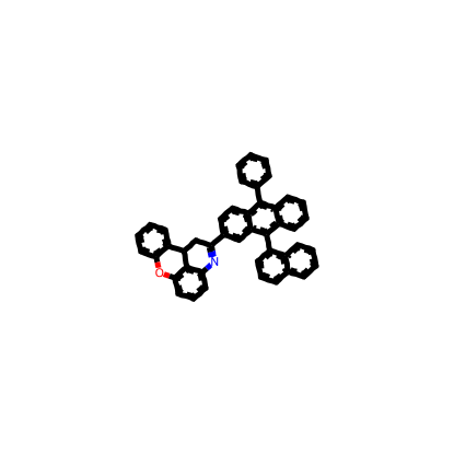 c1ccc(-c2c3ccccc3c(-c3cccc4ccccc34)c3cc(C4=Nc5cccc6c5C(C4)c4ccccc4O6)ccc23)cc1